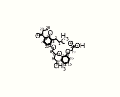 CCCc1c(OCC(CCC)Oc2ccccc2OCC(=O)O)ccc2c1OCCC2=O